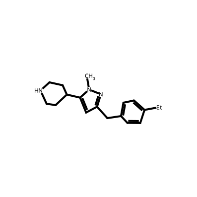 CCc1ccc(Cc2cc(C3CCNCC3)n(C)n2)cc1